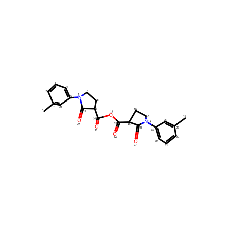 Cc1cccc(N2CCC(C(=O)OC(=O)C3CCN(c4cccc(C)c4)C3=O)C2=O)c1